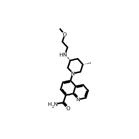 COCCN[C@@H]1C[C@H](C)CN(c2ccc(C(N)=O)c3ncccc23)C1